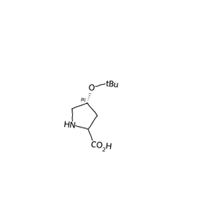 CC(C)(C)O[C@H]1CNC(C(=O)O)C1